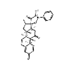 CC1C[C@H]2[C@@H]3C=CC4=CC(=O)C=C[C@]4(C)[C@H]3C(=O)C[C@]2(C)[C@@]1(OC(=O)c1ccccc1)C(=O)CO